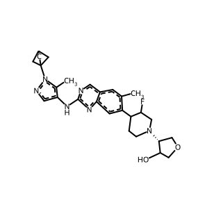 Cc1cc2cnc(Nc3cnn(C45CC(C4)C5)c3C)nc2cc1C1CCN([C@@H]2COCC2O)CC1F